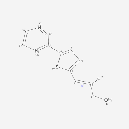 OC/C(F)=C/c1ccc(-c2cnccn2)s1